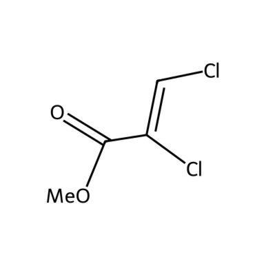 COC(=O)C(Cl)=CCl